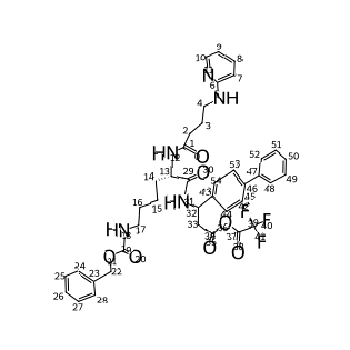 O=C(CCCNc1ccccn1)N[C@@H](CCCCNC(=O)OCc1ccccc1)C(=O)NC(CC(=O)OC(=O)C(F)(F)F)c1ccc(-c2ccccc2)cc1